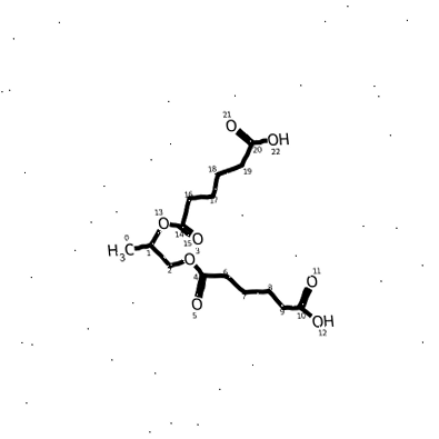 CC(COC(=O)CCCCC(=O)O)OC(=O)CCCCC(=O)O